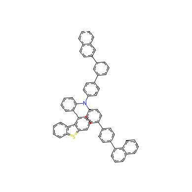 c1cc(-c2ccc(N(c3ccc(-c4ccc(-c5cccc6ccccc56)cc4)cc3)c3ccccc3-c3cccc4sc5ccccc5c34)cc2)cc(-c2ccc3ccccc3c2)c1